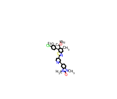 CCOC(=O)[C@@H](OC(C)(C)C)c1c(C)cc2nc(-c3ccnc(-c4ccc5c(c4)n(C)c(=O)n5C)c3)sc2c1-c1ccc(Cl)cc1